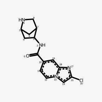 O=C(NC1CC2CC1CN2)c1ccn2cc(Cl)nc2c1